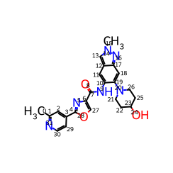 Cc1cc(-c2nc(C(=O)Nc3cc4cn(C)nc4cc3N3CCC(O)CC3)co2)ccn1